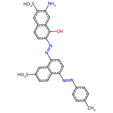 Cc1ccc(N=Nc2ccc(N=Nc3ccc4cc(S(=O)(=O)O)c(N)cc4c3O)c3cc(S(=O)(=O)O)ccc23)cc1